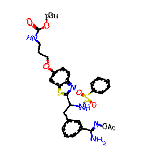 CC(=O)ON=C(N)c1cccc(CC(NS(=O)(=O)c2ccccc2)c2nc3ccc(OCCCNC(=O)OC(C)(C)C)cc3s2)c1